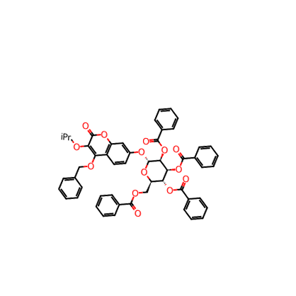 CC(C)Oc1c(OCc2ccccc2)c2ccc(O[C@H]3O[C@H](COC(=O)c4ccccc4)[C@@H](OC(=O)c4ccccc4)[C@H](OC(=O)c4ccccc4)[C@@H]3OC(=O)c3ccccc3)cc2oc1=O